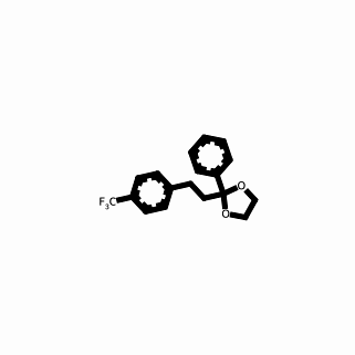 FC(F)(F)c1ccc(CCC2(c3ccccc3)OCCO2)cc1